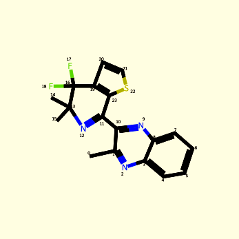 Cc1nc2ccccc2nc1C1=NC(C)(C)C(F)(F)c2ccsc21